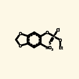 CCOP(=S)(Cl)Oc1cc2c(cc1[N+](=O)[O-])OCO2